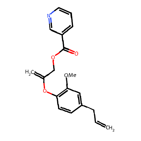 C=CCc1ccc(OC(=C)COC(=O)c2cccnc2)c(OC)c1